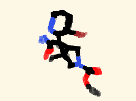 CC(C)(C)OC(=O)N1CC2[C@H](C1)[C@@]2(C(N)=O)c1ncccc1Br